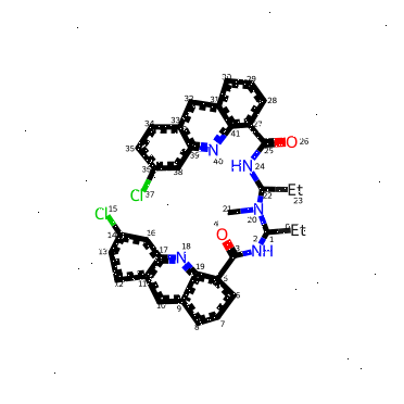 CCC(NC(=O)c1cccc2cc3ccc(Cl)cc3nc12)N(C)C(CC)NC(=O)c1cccc2cc3ccc(Cl)cc3nc12